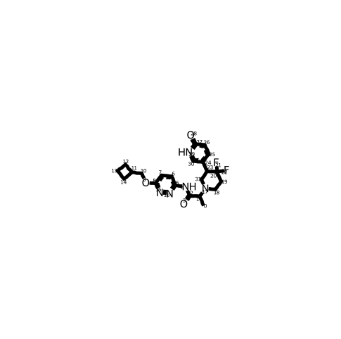 CC(C(=O)Nc1ccc(OCC2CCC2)nn1)N1CCC(F)(F)C(c2ccc(=O)[nH]c2)C1